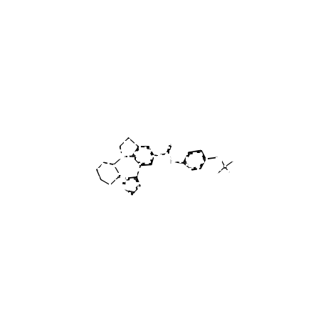 O=C(Nc1ccc(OC(F)(F)Cl)cc1)c1cc2c(c(-c3ccn[nH]3)c1)N(C1CCCCC1)CC2